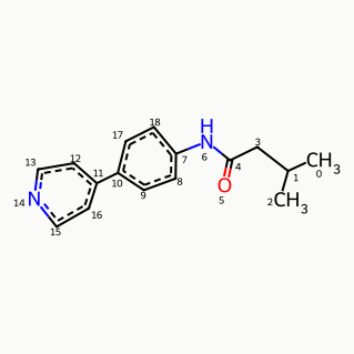 CC(C)CC(=O)Nc1ccc(-c2ccncc2)cc1